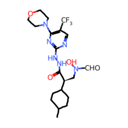 CC1CCC([C@H](CN(O)C=O)C(=O)NNc2ncc(C(F)(F)F)c(N3CCOCC3)n2)CC1